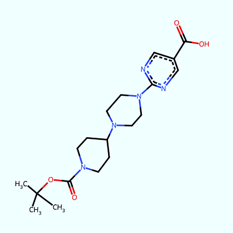 CC(C)(C)OC(=O)N1CCC(N2CCN(c3ncc(C(=O)O)cn3)CC2)CC1